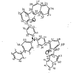 c1ccc(-c2ccc(N(c3ccc(-c4cccc5c4oc4c6ccccc6ccc54)cc3)c3ccc(-c4cccc5c4oc4c6ccccc6ccc54)cc3)cc2)cc1